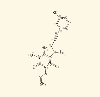 C=CCn1c(=O)c2c(n(C)c1=O)NC(C#Cc1cccc(Cl)c1)N2C